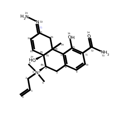 C=CC[N+](C)(C)[C@@H]1Cc2ccc(C(N)=O)c(O)c2C2(C)C/C(=N/N)C=C[C@@]12O